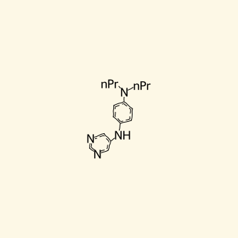 CCCN(CCC)c1ccc(Nc2cncnc2)cc1